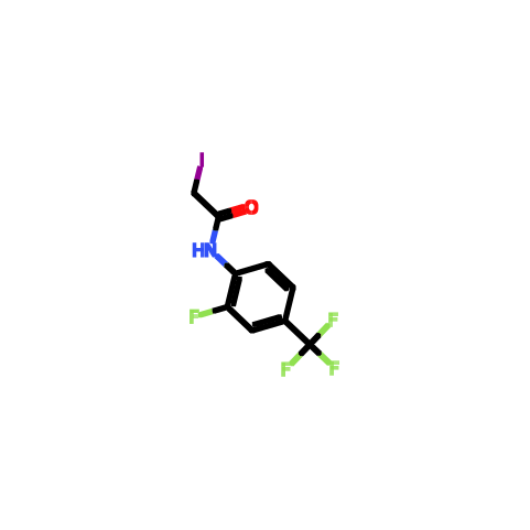 O=C(CI)Nc1ccc(C(F)(F)F)cc1F